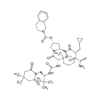 CC1(C)CC(=O)N(C[C@@H](NC(=O)N[C@H](C(=O)N2C[C@H](OC(=O)N3CCc4ccccc4C3)C[C@H]2C(=O)NC(CC2CC2)C(=O)C(N)=O)C2(C)CCCCC2)C(C)(C)C)C(=O)C1